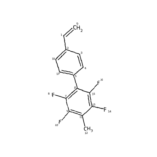 C=Cc1ccc(-c2c(F)c(F)c(C)c(F)c2F)cc1